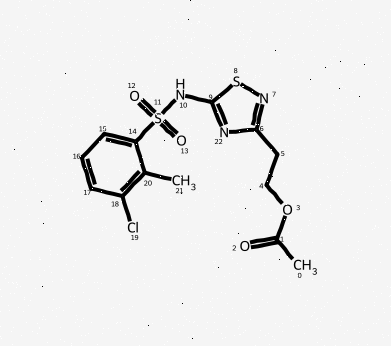 CC(=O)OCCc1nsc(NS(=O)(=O)c2cccc(Cl)c2C)n1